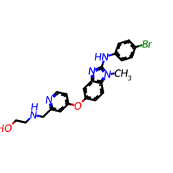 Cn1c(Nc2ccc(Br)cc2)nc2cc(Oc3ccnc(CNCCO)c3)ccc21